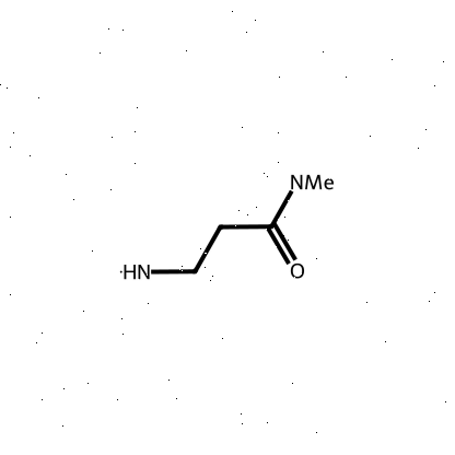 CNC(=O)CC[NH]